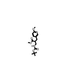 COC(=O)C(CNC(=O)OC(C)(C)C)Cc1ccc(OC)nc1